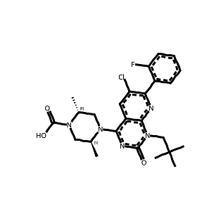 C[C@@H]1CN(c2nc(=O)n(CC(C)(C)C)c3nc(-c4ccccc4F)c(Cl)cc23)[C@@H](C)CN1C(=O)O